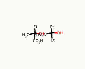 CCC(C)(O)C(=O)O.CCC(O)(CC)C(=O)O